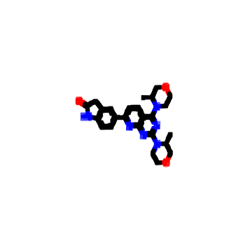 C[C@H]1COCCN1c1nc(N2CCOC[C@@H]2C)c2ccc(-c3ccc4c(c3)CC(=O)N4)nc2n1